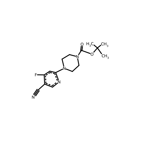 CC(C)(C)OC(=O)N1CCN(c2cc(F)c(C#N)cn2)CC1